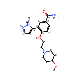 COC1CCN(CCOc2ccc(C(N)=O)cc2-c2ccnn2C)CC1